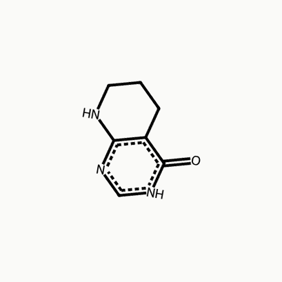 O=c1[nH]cnc2c1CCCN2